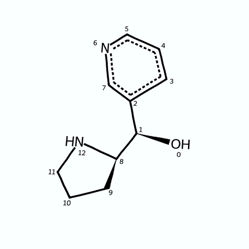 O[C@H](c1cccnc1)[C@H]1CCCN1